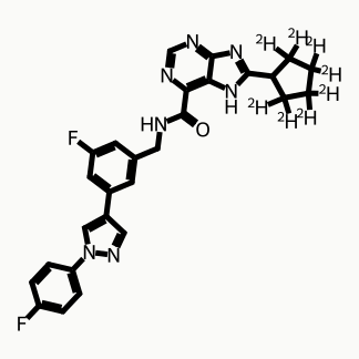 [2H]C1([2H])C(c2nc3ncnc(C(=O)NCc4cc(F)cc(-c5cnn(-c6ccc(F)cc6)c5)c4)c3[nH]2)C([2H])([2H])C([2H])([2H])C1([2H])[2H]